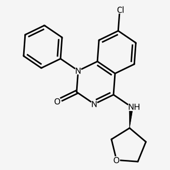 O=c1nc(N[C@H]2CCOC2)c2ccc(Cl)cc2n1-c1ccccc1